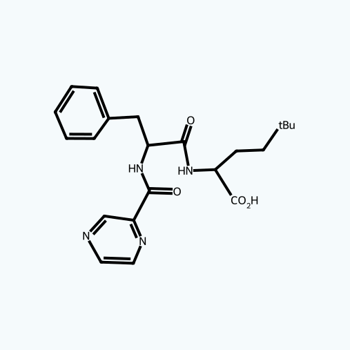 CC(C)(C)CCC(NC(=O)C(Cc1ccccc1)NC(=O)c1cnccn1)C(=O)O